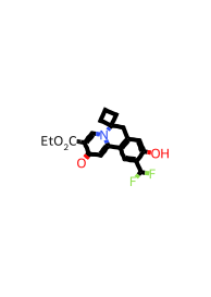 CCOC(=O)c1cn2c(cc1=O)-c1cc(C(F)F)c(O)cc1CC21CCC1